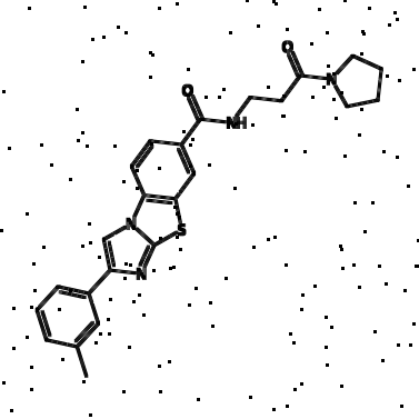 Cc1cccc(-c2cn3c(n2)sc2cc(C(=O)NCCC(=O)N4CCCC4)ccc23)c1